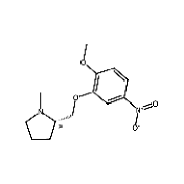 COc1ccc([N+](=O)[O-])cc1OC[C@@H]1CCCN1C